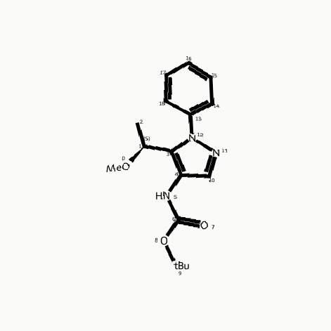 CO[C@@H](C)c1c(NC(=O)OC(C)(C)C)cnn1-c1ccccc1